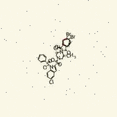 C[C@@H]1CN(S(=O)(=O)c2cc3cc(Cl)ccc3n2S(=O)(=O)c2ccccc2)C[C@H](C)[N+]1(C(=O)c1ccc(Br)cc1)C(=O)c1ccc(Br)cc1